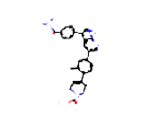 Cc1cc(-c2cnc3[nH]cc(-c4ccc(C(=O)N(C)C)cc4)c3c2)ccc1C1=CCN(C(=O)O)CC1